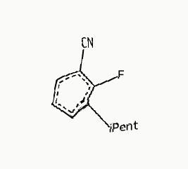 CCCC(C)c1cccc(C#N)c1F